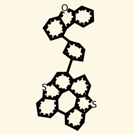 c1cc(-c2cc3sc4cccc5c4c3c3c2ccc2sc4cccc-5c4c23)cc(-c2cccc3oc4ccccc4c23)c1